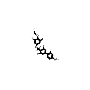 CCCc1ccc(-c2cc(F)c(C(F)(F)Oc3cc(F)c(OCF)c(F)c3)c(F)c2)c(F)c1